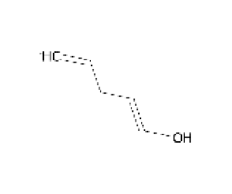 [CH]=CCC=CO